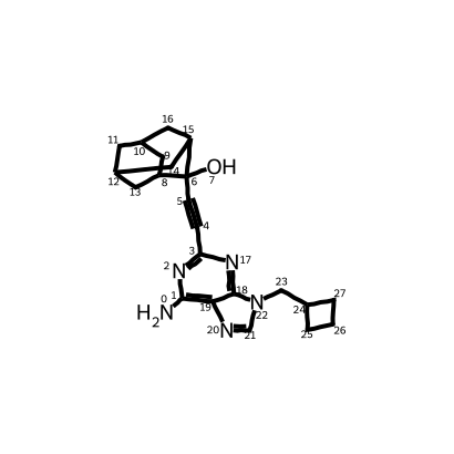 Nc1nc(C#CC2(O)C3CC4CC(C3)CC2C4)nc2c1ncn2CC1CCC1